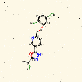 CC(F)c1nnc(-c2ccc(COc3cc(Cl)ccc3F)nc2)o1